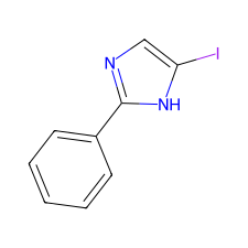 Ic1cnc(-c2ccccc2)[nH]1